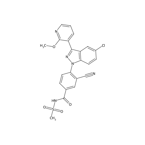 COc1ncccc1-c1nn(-c2ccc(C(=O)NS(C)(=O)=O)cc2C#N)c2ccc(Cl)cc12